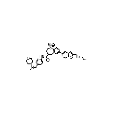 CCCOCc1cc2cc(-c3ccc4c(c3)C=C(C(=O)Nc3ccc(CN(C)C5CCOCC5)cc3)CCS4(=O)=O)ccc2o1